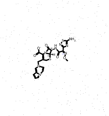 CO/N=C(\C(=O)N[C@@H]1C(=O)N2C(C(=O)[O-])=C(Cn3cc[n+]4cccc-4c3)CS[C@@H]12)c1nsc(N)n1